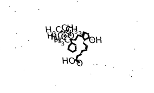 CC(C)(C)[Si](C)(C)O[C@](C)(CCC1=CC[C@H](O)[C@@H]1C/C=C\CCCC(=O)O)C1CCCCC1